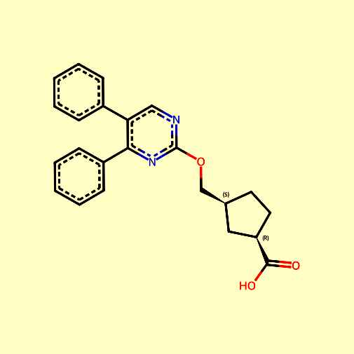 O=C(O)[C@@H]1CC[C@H](COc2ncc(-c3ccccc3)c(-c3ccccc3)n2)C1